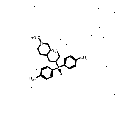 Cc1ccc(P(=S)(c2ccc(C)cc2)C(CC2CCN(C(=O)O)CC2)C[N+](=O)[O-])cc1